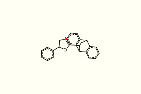 c1ccc(C2CN=C(C3CC4c5ccccc5C3c3ccccc34)O2)cc1